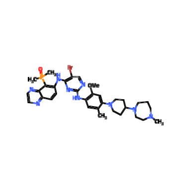 COc1cc(N2CCC(N3CCCN(C)CC3)CC2)c(C)cc1Nc1ncc(Br)c(Nc2ccc3nccnc3c2P(C)(C)=O)n1